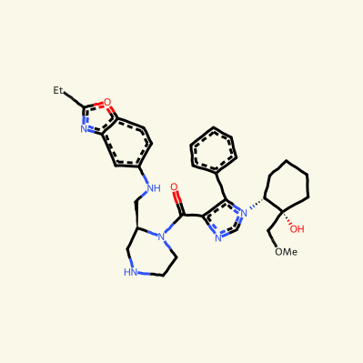 CCc1nc2cc(NC[C@@H]3CNCCN3C(=O)c3ncn([C@@H]4CCCC[C@@]4(O)COC)c3-c3ccccc3)ccc2o1